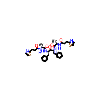 CC(C)[C@H](NC(=O)CCc1nccs1)C(=O)N[C@@H](Cc1ccccc1)C(O)[C@H](Cc1ccccc1)NC(=O)[C@@H](NC(=O)CCc1nccs1)C(C)C